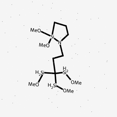 CO[SiH2]C(CCN1CCC[Si]1(OC)OC)([SiH2]OC)[SiH2]OC